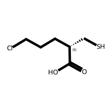 O=C(O)[C@@H](CS)CCCCl